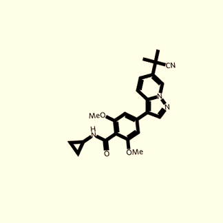 COc1cc(-c2cnn3cc(C(C)(C)C#N)ccc23)cc(OC)c1C(=O)NC1CC1